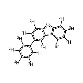 [2H]c1c([2H])c([2H])c(-c2c([2H])c([2H])c3oc4c([2H])c([2H])c([2H])c(Br)c4c3c2[2H])c([2H])c1[2H]